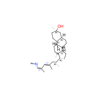 C=N/C=C(C)\C=C(/C)C[C@@H](C)[C@H]1CC[C@H]2[C@@H]3CC[C@@H]4C[C@](C)(O)CC[C@@H]4[C@H]3CC[C@]12C